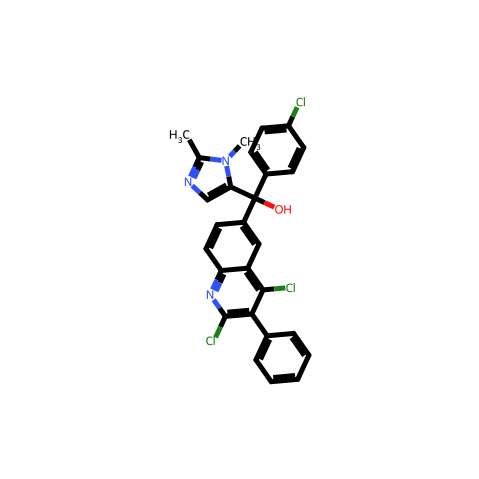 Cc1ncc(C(O)(c2ccc(Cl)cc2)c2ccc3nc(Cl)c(-c4ccccc4)c(Cl)c3c2)n1C